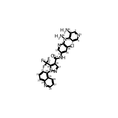 Nc1cnccc1N(N)c1ncc(NC(=O)c2cnn(-c3cccc4ncccc34)c2C(F)(F)F)cc1Cl